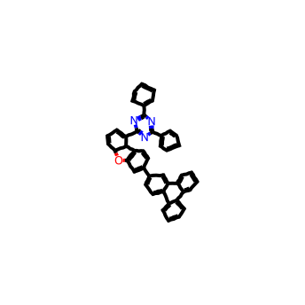 C1=CC2Oc3cc(-c4ccc5c6ccccc6c6ccccc6c5c4)ccc3C2C(c2nc(-c3ccccc3)nc(-c3ccccc3)n2)=C1